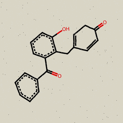 O=C1C=CC(Cc2c(O)cccc2C(=O)c2ccccc2)=CC1